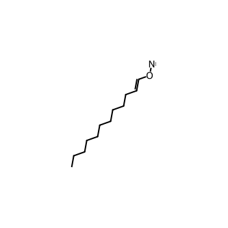 CCCCCCCCCCC=CO[N]